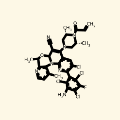 C=CC(=O)N1[C@H](C)CN(C2=C(C#N)C3OC(C)c4nccc(C)c4N3c3nc(-c4c(Cl)c(N)c(Cl)c(F)c4Cl)c(Cl)cc32)C[C@@H]1C